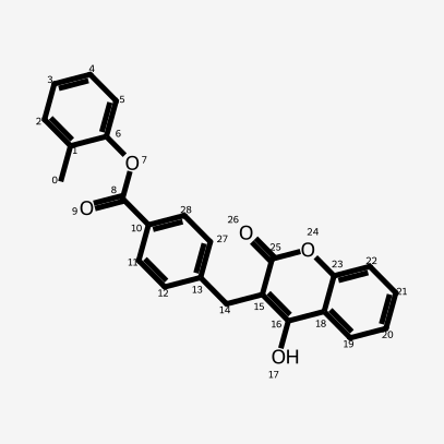 Cc1ccccc1OC(=O)c1ccc(Cc2c(O)c3ccccc3oc2=O)cc1